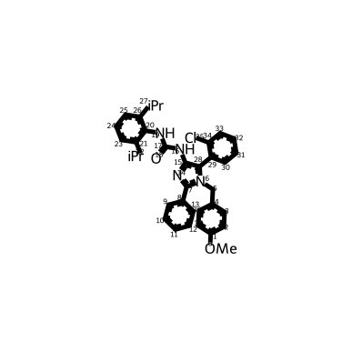 COc1ccc(Cn2c(-c3ccccc3)nc(NC(=O)Nc3c(C(C)C)cccc3C(C)C)c2-c2ccccc2Cl)cc1